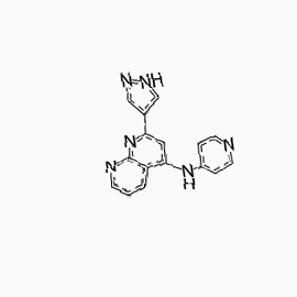 c1cnc2nc(-c3cn[nH]c3)cc(Nc3ccncc3)c2c1